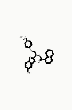 CC(C)(C)c1ccc2oc(C(COc3ccc(C(=O)O)cc3)OC(=O)c3cccc4ccccc34)cc2c1